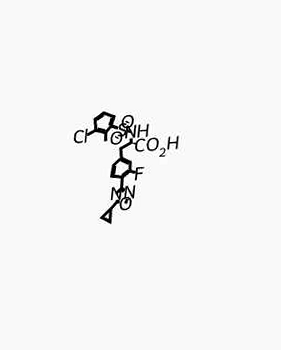 Cc1c(Cl)cccc1S(=O)(=O)N[C@@H](Cc1ccc(-c2noc(C3CC3)n2)c(F)c1)C(=O)O